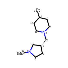 CCC1CCN(C[C@@H]2CCN(C(C)(C)C)C2)CC1